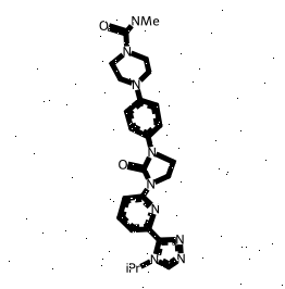 CNC(=O)N1CCN(c2ccc(N3CCN(c4cccc(-c5nncn5C(C)C)n4)C3=O)cc2)CC1